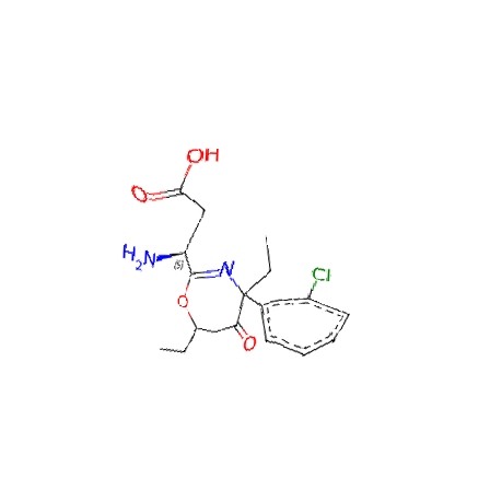 CCC1OC([C@@H](N)CC(=O)O)=NC(CC)(c2ccccc2Cl)C1=O